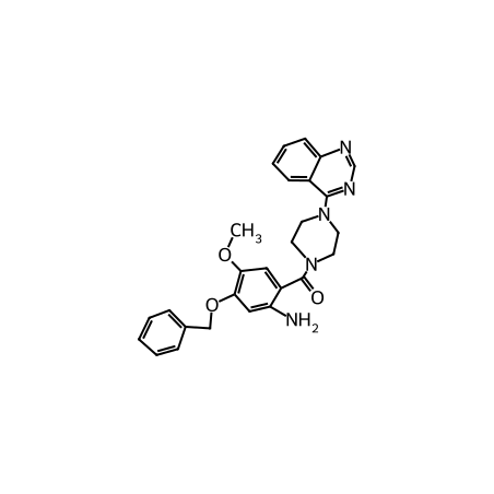 COc1cc(C(=O)N2CCN(c3ncnc4ccccc34)CC2)c(N)cc1OCc1ccccc1